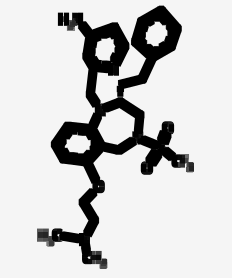 CN(C)CCOc1cccc2c1CN(S(=O)(=O)C(F)(F)F)C[C@@H](CCc1ccccc1)N2Cc1cc(N)ccn1